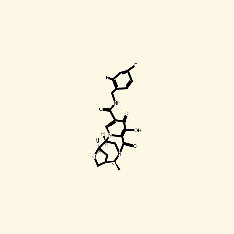 C[C@H]1C2CO[C@H](C2)[C@H]2CN1C(=O)c1c(O)c(=O)c(C(=O)NCc3ccc(F)cc3F)cn12